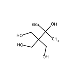 CCCCC(C)(O)C(CO)(CO)CO